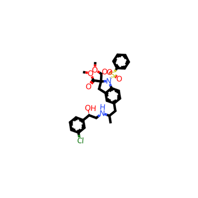 COC(=O)C1(C(=O)OC)Cc2cc(CC(C)NC[C@@H](O)c3cccc(Cl)c3)ccc2N1S(=O)(=O)c1ccccc1